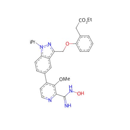 CCOC(=O)Cc1ccccc1OCc1nn(C(C)C)c2ccc(-c3ccnc(C(=N)NO)c3OC)cc12